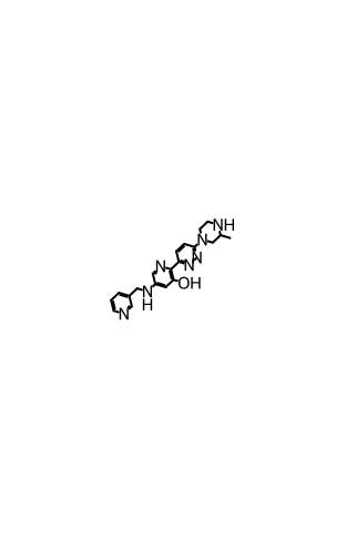 CC1CN(c2ccc(-c3ncc(NCc4cccnc4)cc3O)nn2)CCN1